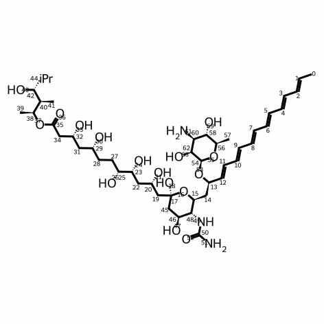 C/C=C/C=C/C=C/C=C/C=C/C=C/[C@@H](C[C@@H]1O[C@](O)(C[C@@H](O)C[C@@H](O)[C@H](O)CC[C@@H](O)C[C@@H](O)CC(=O)O[C@@H](C)[C@H](C)[C@H](O)C(C)C)C[C@H](O)[C@H]1NC(N)=O)O[C@@H]1O[C@H](C)[C@@H](O)[C@H](N)[C@@H]1O